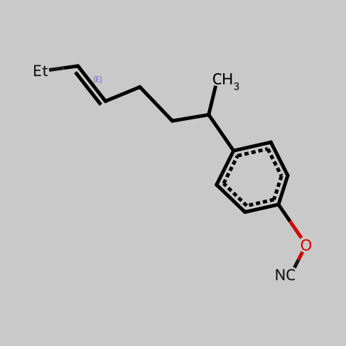 CC/C=C/CCC(C)c1ccc(OC#N)cc1